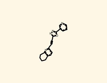 C(#Cc1nnc(-c2cccnc2)o1)c1ccc2c(n1)CCCC2